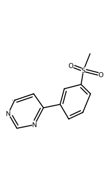 CS(=O)(=O)c1cccc(-c2c[c]ncn2)c1